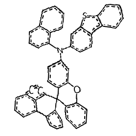 c1ccc2c(c1)Oc1cc(N(c3ccc4c(c3)sc3ccccc34)c3cccc4ccccc34)ccc1C21c2ccccc2-c2cccc3cccc1c23